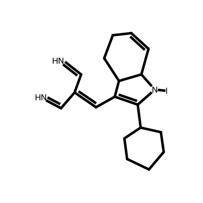 N=CC(C=N)=CC1=C(C2CCCCC2)N(I)C2C=CCCC12